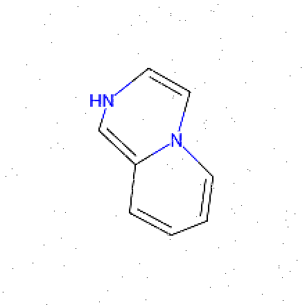 C1=CC2=CNC=CN2C=C1